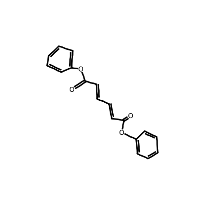 O=C(C=CC=CC(=O)Oc1ccccc1)Oc1ccccc1